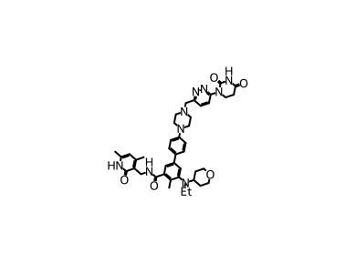 CCN(c1cc(-c2ccc(N3CCN(Cc4ccc(N5CCC(=O)NC5=O)nn4)CC3)cc2)cc(C(=O)NCc2c(C)cc(C)[nH]c2=O)c1C)C1CCOCC1